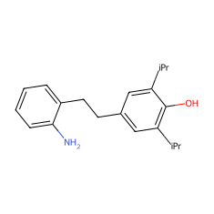 CC(C)c1cc(CCc2ccccc2N)cc(C(C)C)c1O